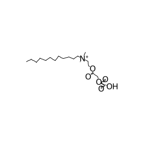 CCCCCCCCCCCC[N+](C)(C)CCOC(=O)COS(=O)(=O)O